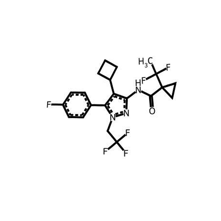 CC(F)(F)C1(C(=O)Nc2nn(CC(F)(F)F)c(-c3ccc(F)cc3)c2C2CCC2)CC1